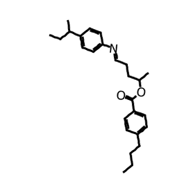 CCCCc1ccc(C(=O)OC(C)CCC=Nc2ccc(C(C)CC)cc2)cc1